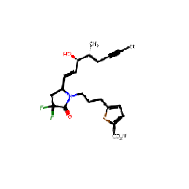 CCC#CC[C@@H](C)[C@H](O)C=CC1CC(F)(F)C(=O)N1CCCc1ccc(C(=O)O)s1